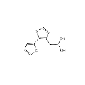 OC(O)Cc1ccsc1-c1cccs1